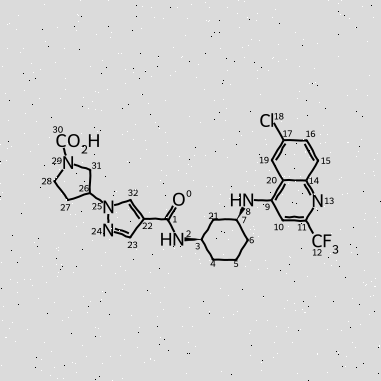 O=C(N[C@@H]1CCC[C@H](Nc2cc(C(F)(F)F)nc3ccc(Cl)cc23)C1)c1cnn(C2CCN(C(=O)O)C2)c1